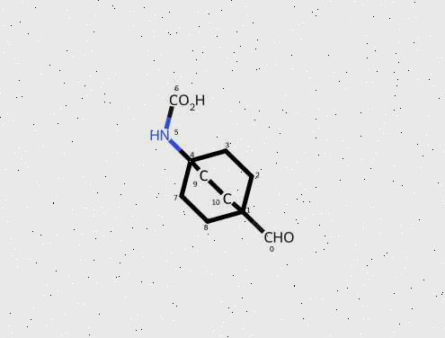 O=CC12CCC(NC(=O)O)(CC1)CC2